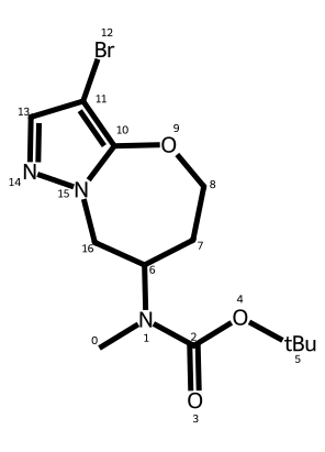 CN(C(=O)OC(C)(C)C)C1CCOc2c(Br)cnn2C1